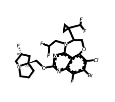 Fc1c(Br)c(Cl)c2c3c(nc(OC[C@@]45CCCN4C[C@H](F)C5)nc13)N(CC(F)F)C(C1(C(F)F)CC1)CO2